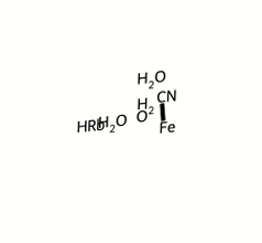 N#[C][Fe].O.O.O.[RbH]